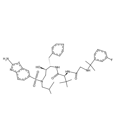 CC(C)CN(C[C@@H](O)[C@H](Cc1ccccc1)NC(=O)[C@@H](NC(=O)CNC(C)(C)c1cccc(F)c1)C(C)(C)C)S(=O)(=O)c1ccc2nc(N)sc2c1